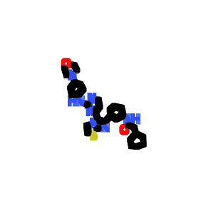 O=C(CC1CCCCC1)Nc1cccc(-c2nc3sccn3c2-c2ccnc(Nc3ccc(N4CCOCC4)cc3)n2)c1